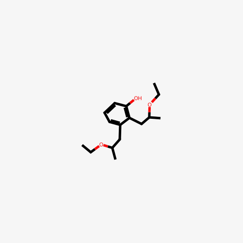 CCOC(C)Cc1cccc(O)c1CC(C)OCC